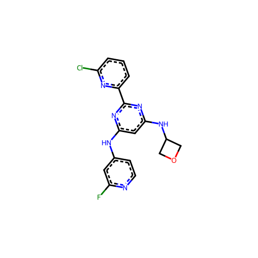 Fc1cc(Nc2cc(NC3COC3)nc(-c3cccc(Cl)n3)n2)ccn1